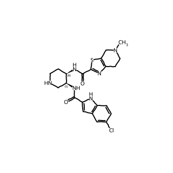 CN1CCc2nc(C(=O)N[C@@H]3CCNC[C@@H]3NC(=O)c3cc4cc(Cl)ccc4[nH]3)sc2C1